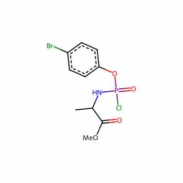 COC(=O)C(C)NP(=O)(Cl)Oc1ccc(Br)cc1